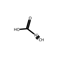 C#[N+]C(=O)O